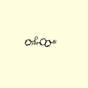 O=C(NC1=Cc2ccc(Br)cc2CC1)c1ccccc1